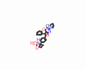 Cn1c(N2CCCC2)nc2oc(-c3ccc(C4(NC(=O)O)CCC4)cc3)c(-c3ccccc3)c2c1=O